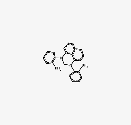 Bc1ccccc1N1CN(c2ccccc2B)c2cccc3cccc1c23